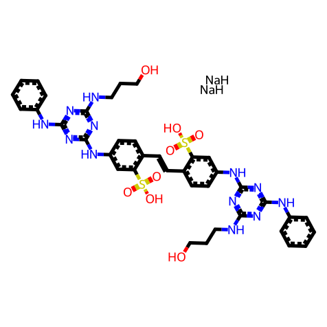 O=S(=O)(O)c1cc(Nc2nc(NCCCO)nc(Nc3ccccc3)n2)ccc1/C=C/c1ccc(Nc2nc(NCCCO)nc(Nc3ccccc3)n2)cc1S(=O)(=O)O.[NaH].[NaH]